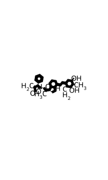 C=C1/C(=C\C=C2/CCC[C@]3(C)[C@@H]([C@H](C)C[C@@H]4OC(=O)C(=C)[C@@H]4c4ccccc4)CC[C@@H]23)C[C@@H](O)[C@H](C)[C@@H]1O